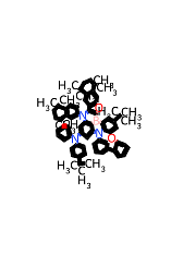 CC(C)(C)c1ccc(N(c2ccccc2)c2cc3c4c(c2)N(c2cccc5c2oc2ccccc25)c2ccc(C(C)(C)C)cc2B4c2oc4cc5c(cc4c2N3c2ccc3c(c2)C(C)(C)CCC3(C)C)C(C)(C)CCC5(C)C)cc1